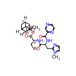 CC(C)C[C@H](NC(=O)C(Cc1nccn1C)NC(=O)c1cnccn1)B1O[C@@H]2[C@H]3C[C@@H](C[C@]2(C)O1)C3(C)C